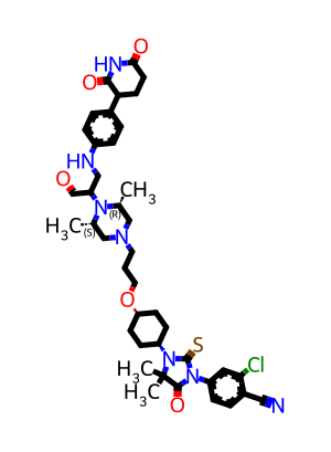 C[C@@H]1CN(CCCO[C@H]2CC[C@H](N3C(=S)N(c4ccc(C#N)c(Cl)c4)C(=O)C3(C)C)CC2)C[C@H](C)N1C(C=O)CNc1ccc(C2CCC(=O)NC2=O)cc1